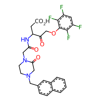 O=C(O)CC(NC(=O)CN1CCN(Cc2ccc3ccccc3c2)CC1=O)C(=O)COc1c(F)c(F)cc(F)c1F